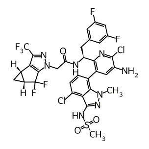 Cn1nc(NS(C)(=O)=O)c2c(Cl)ccc(-c3cc(N)c(Cl)nc3[C@H](Cc3cc(F)cc(F)c3)NC(=O)Cn3nc(C(F)(F)F)c4c3C(F)(F)[C@@H]3C[C@H]43)c21